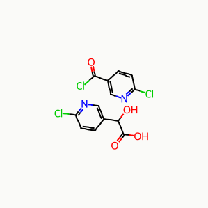 O=C(Cl)c1ccc(Cl)nc1.O=C(O)C(O)c1ccc(Cl)nc1